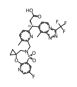 Cc1ccc([C@@H](CC(=O)O)c2ccn3c(C(F)(F)F)nnc3c2C)nc1CN1CC2(CC2)Oc2ncc(F)cc2S1(=O)=O